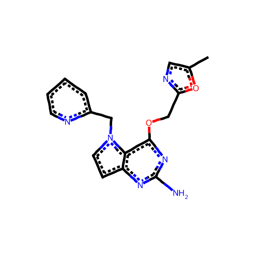 Cc1cnc(COc2nc(N)nc3ccn(Cc4ccccn4)c23)o1